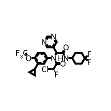 O=C(NC1CCC(F)(F)CC1)C(c1cncnc1)N(C(=O)[C@H](F)Cl)c1ccc(OC(F)(F)F)c(C2CC2)c1